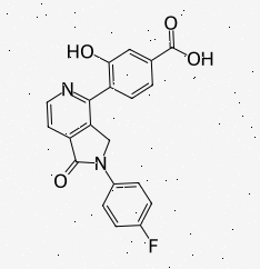 O=C(O)c1ccc(-c2nccc3c2CN(c2ccc(F)cc2)C3=O)c(O)c1